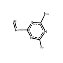 B=Nc1n[c]([Na])n[c]([Er])n1